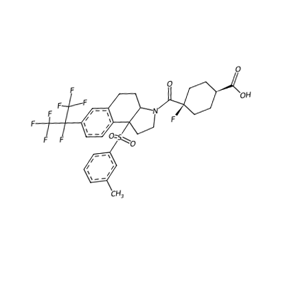 Cc1cccc(S(=O)(=O)C23CCN(C(=O)[C@]4(F)CC[C@@H](C(=O)O)CC4)C2CCc2cc(C(F)(C(F)(F)F)C(F)(F)F)ccc23)c1